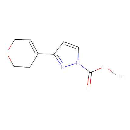 CC(C)(C)OC(=O)n1ccc(C2=CCOCC2)n1